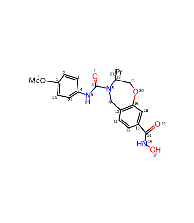 COc1ccc(NC(=O)N2Cc3ccc(C(=O)NO)cc3OC[C@@H]2C(C)C)cc1